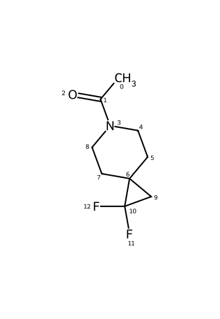 CC(=O)N1CCC2(CC1)CC2(F)F